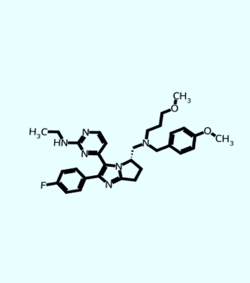 CCNc1nccc(-c2c(-c3ccc(F)cc3)nc3n2[C@H](CN(CCCOC)Cc2ccc(OC)cc2)CC3)n1